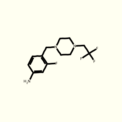 Nc1ccc(CN2CCN(CC(F)(F)F)CC2)c(F)c1